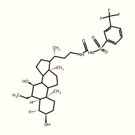 CC[C@@H]1[C@@H]2[C@@H](F)[C@H](O)CC[C@]2(C)C2CC[C@@]3(C)C(CCC3[C@H](C)CCNC(=O)NS(=O)(=O)c3cccc(C(F)(F)F)c3)C2[C@@H]1O